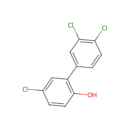 Oc1ccc(Cl)cc1-c1ccc(Cl)c(Cl)c1